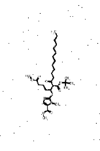 CCCCCCCCCCCCC(=O)C(C(=O)OC(C)(C)C)C(CCCC(=O)OC)Sc1ncc(C(=O)OC)n1C